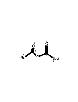 CC(C)(C)C(=O)SC(=O)C(C)(C)C